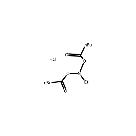 CCCCC(=O)ON(CC)OC(=O)CCCC.Cl